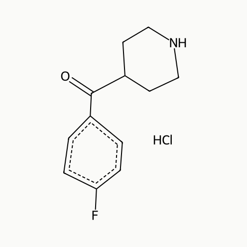 Cl.O=C(c1ccc(F)cc1)C1CCNCC1